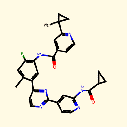 Cc1cc(F)c(NC(=O)c2ccnc(C3(C#N)CC3)c2)cc1-c1ccnc(-c2ccnc(NC(=O)C3CC3)c2)n1